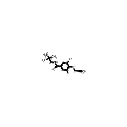 C#CCOc1c(F)cc(C(=O)NCC(C)(C)N)cc1F